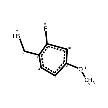 COc1ccc(CS)c(F)c1